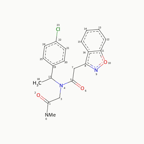 CNC(=O)CN(C(=O)Cc1noc2ccccc12)C(C)c1ccc(Cl)cc1